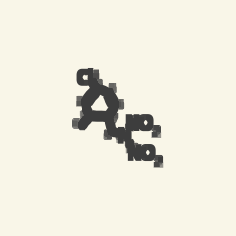 Cc1cc(Cl)ccc1CN([N+](=O)[O-])[N+](=O)[O-]